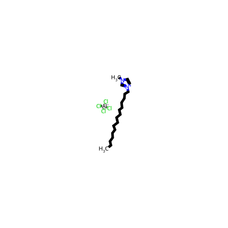 CCCCCCCCCCCCCCCC[n+]1ccn(C)c1.[Cl][Al-]([Cl])([Cl])[Cl]